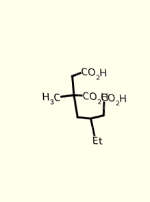 CCC(CC(=O)O)CC(C)(CC(=O)O)C(=O)O